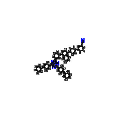 N#Cc1cccc(-c2ccc(-c3ccc(-c4cccc(-c5nc(-c6ccc(-c7ccccc7)cc6)nc(-c6ccc(-c7ccccc7)cc6)n5)c4)c4ccccc34)cc2)c1